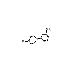 CCCN1CCN(c2cccc(N)n2)CC1